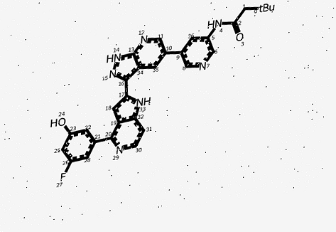 CC(C)(C)CC(=O)Nc1cncc(-c2cnc3[nH]nc(-c4cc5c(-c6cc(O)cc(F)c6)nccc5[nH]4)c3c2)c1